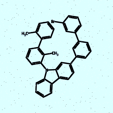 Cc1ccccc1-c1cccc(-n2c3ccccc3c3ccc(-c4cccc(-c5cccc(Br)c5)c4)cc32)c1C